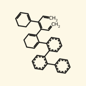 C=C/C(C1=CC=CCC1)=C(\C=C)C1=CCCC=C1c1ccccc1-c1ccccc1-c1ccccc1